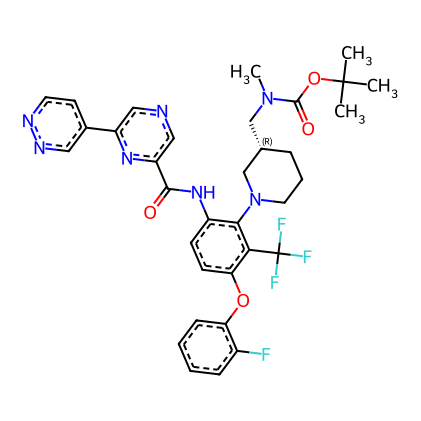 CN(C[C@@H]1CCCN(c2c(NC(=O)c3cncc(-c4ccnnc4)n3)ccc(Oc3ccccc3F)c2C(F)(F)F)C1)C(=O)OC(C)(C)C